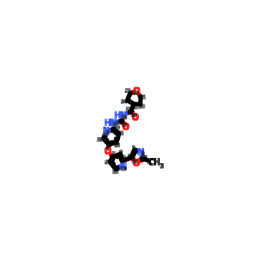 Cc1ncc(-c2cc(Oc3ccc(NC(=O)NC(=O)C4CCOCC4)nc3)ccn2)o1